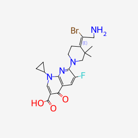 CC1(C)CN(c2nc3c(cc2F)c(=O)c(C(=O)O)cn3C2CC2)CC/C1=C(\Br)CN